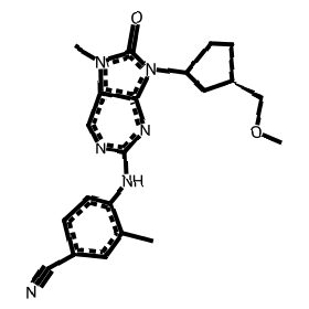 COC[C@@H]1CCC(n2c(=O)n(C)c3cnc(Nc4ccc(C#N)cc4C)nc32)C1